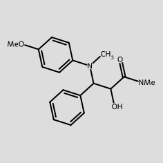 CNC(=O)C(O)C(c1ccccc1)N(C)c1ccc(OC)cc1